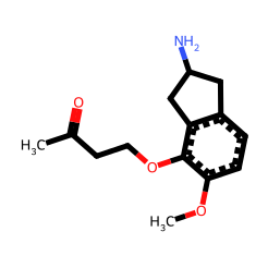 COc1ccc2c(c1OCCC(C)=O)CC(N)C2